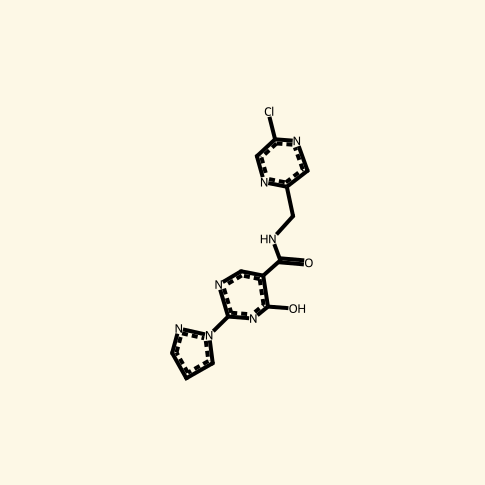 O=C(NCc1cnc(Cl)cn1)c1cnc(-n2cccn2)nc1O